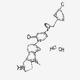 Cl.Cl.Cn1c2c(c3ccc(-n4ccc(OCc5ccc(Cl)cc5)cc4=O)cc31)CNCC2